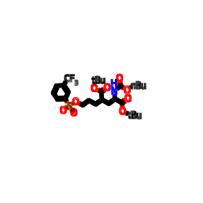 CCCCOC(=O)NC(CC(CCCOS(=O)(=O)c1cccc(C(F)(F)F)c1)C(=O)OC(C)(C)C)C(=O)OC(C)(C)C